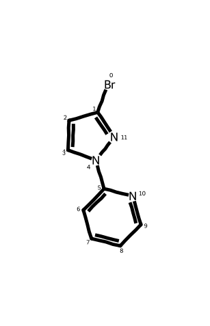 Brc1c[c]n(-c2ccccn2)n1